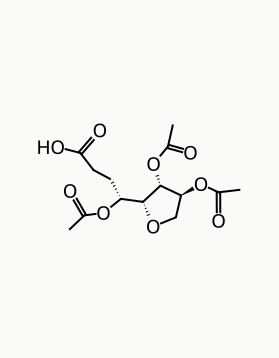 CC(=O)O[C@H]1[C@@H]([C@@H](CCC(=O)O)OC(C)=O)OC[C@@H]1OC(C)=O